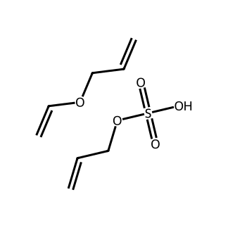 C=CCOC=C.C=CCOS(=O)(=O)O